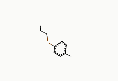 O=Cc1ccc(SCCC(=O)O)cc1